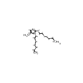 CCCCCCCSc1scc(C)[n+]1CCCCCCC